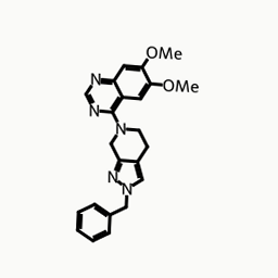 COc1cc2ncnc(N3CCc4cn(Cc5ccccc5)nc4C3)c2cc1OC